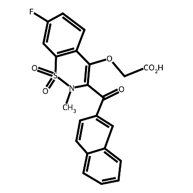 CN1C(C(=O)c2ccc3ccccc3c2)=C(OCC(=O)O)c2ccc(F)cc2S1(=O)=O